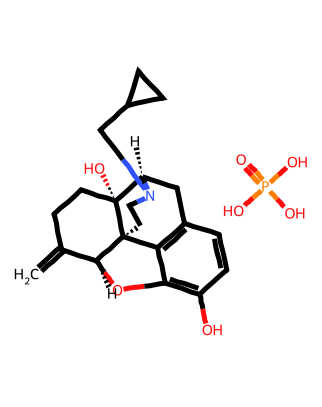 C=C1CC[C@@]2(O)[C@H]3Cc4ccc(O)c5c4[C@@]2(CCN3CC2CC2)[C@H]1O5.O=P(O)(O)O